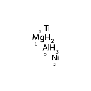 [AlH3].[MgH2].[Ni].[Ti]